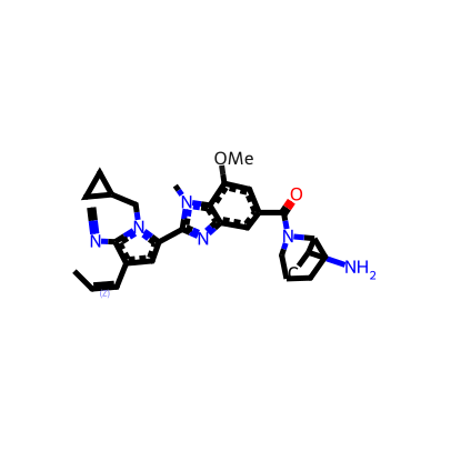 C=Nc1c(/C=C\C)cc(-c2nc3cc(C(=O)N4CC5CCC4C(N)C5)cc(OC)c3n2C)n1CC1CC1